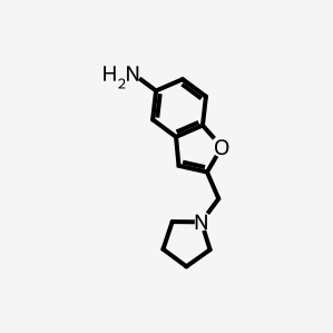 Nc1ccc2oc(CN3CCCC3)cc2c1